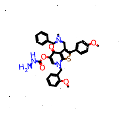 COc1ccc(-c2sc3c(c2CN(C)Cc2ccccc2)c(=O)c(OC(=O)NN)cn3Cc2ccccc2OC)cc1